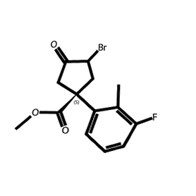 COC(=O)[C@@]1(c2cccc(F)c2C)CC(=O)C(Br)C1